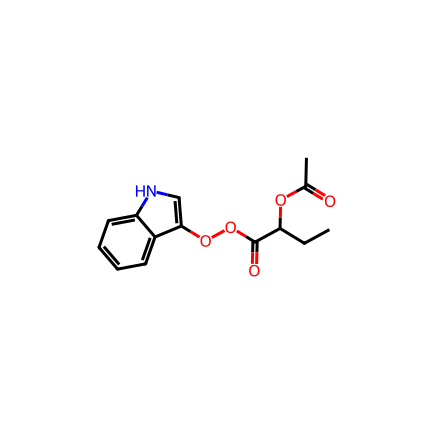 CCC(OC(C)=O)C(=O)OOc1c[nH]c2ccccc12